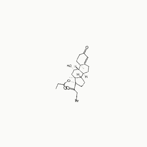 CCC(=O)O[C@@]1(C(=O)CBr)CC[C@H]2[C@@H]3CCC4=CC(=O)CC[C@]4(C)[C@H]3[C@@H](O)C[C@@]21C